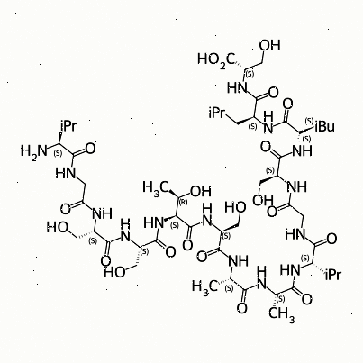 CC[C@H](C)[C@H](NC(=O)[C@H](CO)NC(=O)CNC(=O)[C@@H](NC(=O)[C@H](C)NC(=O)[C@H](C)NC(=O)[C@H](CO)NC(=O)[C@@H](NC(=O)[C@H](CO)NC(=O)[C@H](CO)NC(=O)CNC(=O)[C@@H](N)C(C)C)[C@@H](C)O)C(C)C)C(=O)N[C@@H](CC(C)C)C(=O)N[C@@H](CO)C(=O)O